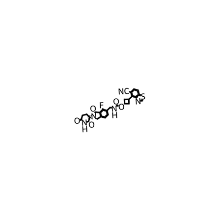 N#Cc1ccc2scnc2c1C1CC(OC(=O)NCc2ccc3c(c2F)C(=O)N([C@H]2CCC(=O)NC2=O)C3)C1